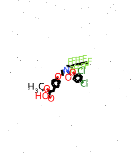 CCOC(Cc1ccc(OCCN(CC(F)(F)C(F)(F)C(F)(F)C(F)(F)C(F)(F)F)C(=O)Oc2ccc(Cl)cc2Cl)cc1)C(=O)O